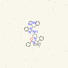 CCC(c1ccccc1)C(N1CCC(Nc2nc3ccccc3n2C(Cc2ccccc2)c2ncc[nH]2)CC1)N(C)C(=O)c1ccccc1